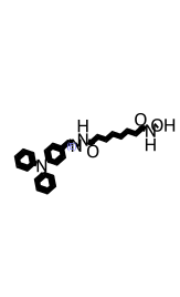 O=C(CCCCCCC(=O)N/N=C/c1ccc(N(c2ccccc2)c2ccccc2)cc1)NO